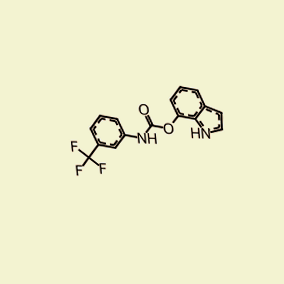 O=C(Nc1cccc(C(F)(F)F)c1)Oc1cccc2cc[nH]c12